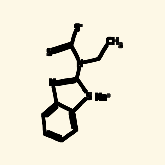 CCN(C(=S)[S-])c1nc2ccccc2s1.[Na+]